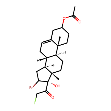 CC(=O)OC1CC[C@@]2(C)C(=CC[C@@H]3[C@@H]2CC[C@@]2(C)[C@H]3CC(Br)[C@]2(O)C(=O)CF)C1